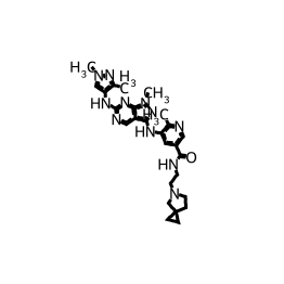 Cc1nn(C)cc1Nc1ncc2c(Nc3cc(C(=O)NCCN4CCC5(CC5)C4)cnc3C)nn(C)c2n1